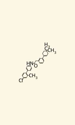 Cc1cc(Cl)ccc1-c1ccc(NC(=O)Cc2cccc(C3=CCC(C)(C)CC3)c2)cc1